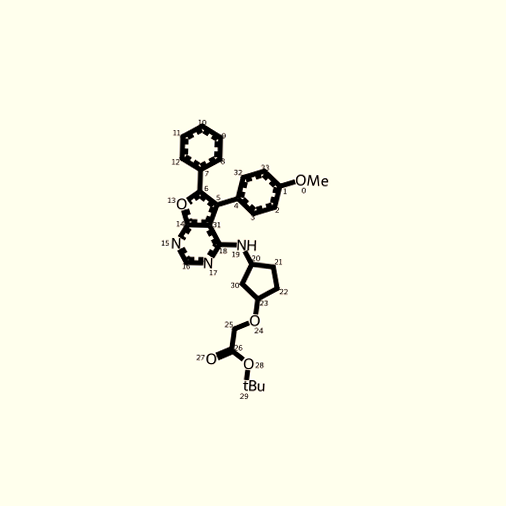 COc1ccc(-c2c(-c3ccccc3)oc3ncnc(NC4CCC(OCC(=O)OC(C)(C)C)C4)c23)cc1